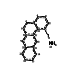 Ic1cccc2ccc3cc4ccccc4cc3c12.N